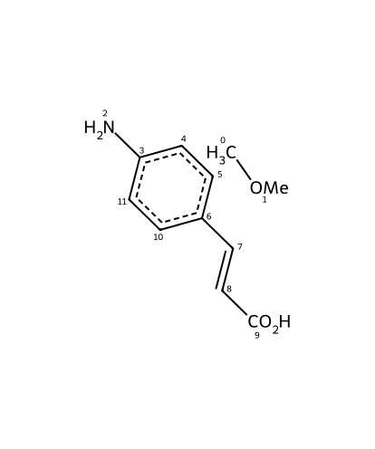 COC.Nc1ccc(C=CC(=O)O)cc1